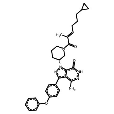 C/C(=C\CCCC1CC1)C(=O)N1CCC[C@@H](n2nc(-c3ccc(Oc4ccccc4)cc3)c3c(N)n[nH]c(=O)c32)C1